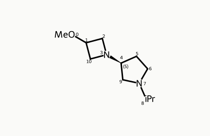 COC1CN([C@H]2CCN(C(C)C)C2)C1